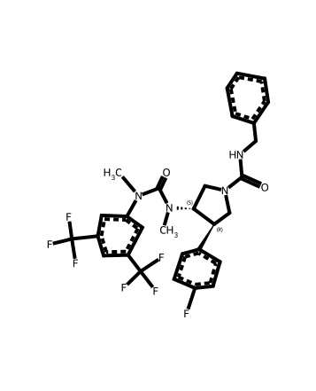 CN(C(=O)N(C)[C@@H]1CN(C(=O)NCc2ccccc2)C[C@H]1c1ccc(F)cc1)c1cc(C(F)(F)F)cc(C(F)(F)F)c1